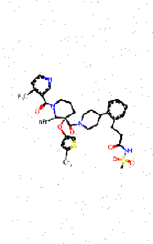 CCC[C@H]1N(C(=O)c2cnccc2C(F)(F)F)CCC[C@]1(Oc1csc(C(F)(F)F)c1)C(=O)N1CCC(c2ccccc2CCC(=O)NS(C)(=O)=O)CC1